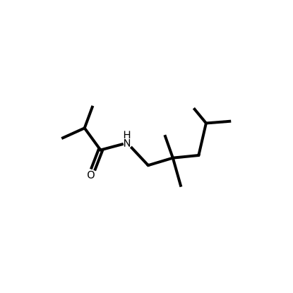 CC(C)CC(C)(C)CNC(=O)C(C)C